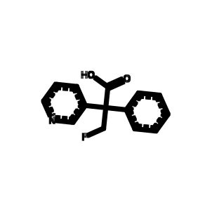 O=C(O)C(CF)(c1ccccc1)c1cccnc1